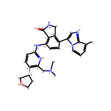 Cc1cccn2c(-c3ccc(Nc4ccc([C@@H]5CCOC5)c(CN(C)C)n4)c4c3CNC4=O)cnc12